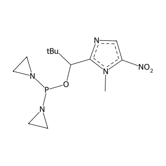 Cn1c([N+](=O)[O-])cnc1C(OP(N1CC1)N1CC1)C(C)(C)C